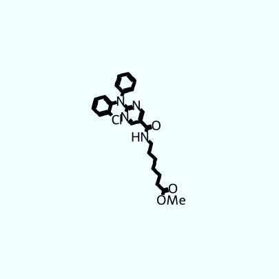 COC(=O)CCCCCCNC(=O)c1cnc(N(c2ccccc2)c2ccccc2Cl)nc1